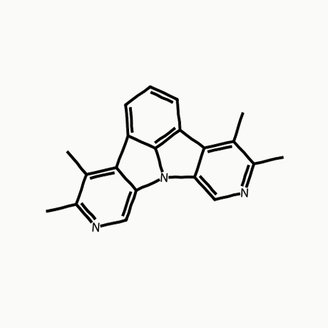 Cc1ncc2c(c1C)c1cccc3c4c(C)c(C)ncc4n2c13